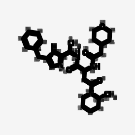 CC(NC(=O)C(CC(=O)N1CCCC[C@@H]1C)NC(=O)CC1CCOCC1)c1ncc(Cc2ccccc2)[nH]1